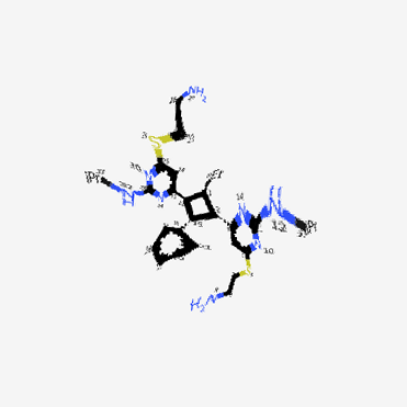 CC[C@H]1[C@H](c2cc(SCCN)nc(NC(C)C)n2)[C@H](c2ccccc2)[C@H]1c1cc(SCCN)nc(NC(C)C)n1